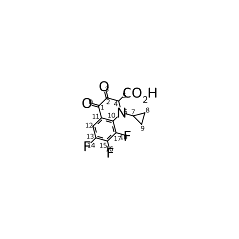 O=C1C(=O)C(C(=O)O)N(C2CC2)c2c1cc(F)c(F)c2F